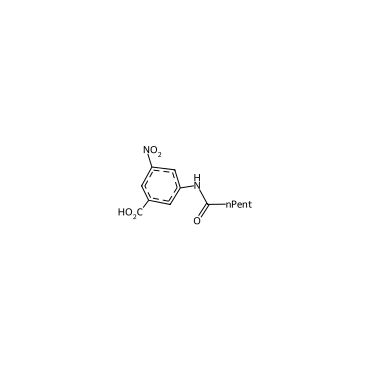 CCCCCC(=O)Nc1cc(C(=O)O)cc([N+](=O)[O-])c1